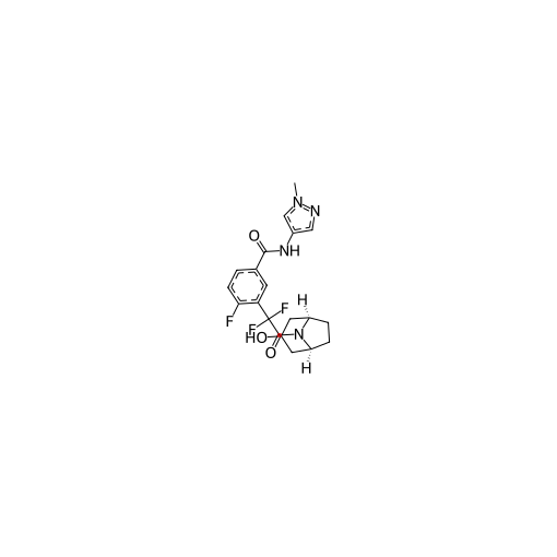 Cn1cc(NC(=O)c2ccc(F)c(C(F)(F)C(=O)N3[C@@H]4CC[C@H]3CC(O)C4)c2)cn1